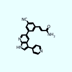 N#Cc1cc(C=CC(N)=O)cc(-c2cnc3[nH]cc(-c4ccncc4)c3c2)c1